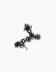 C[C@@H](Cn1cnnn1)Oc1cc(-c2cnc(Nc3cn([C@H]4CC[C@H](N5[C@@H]6CC[C@H]5COC6)CC4)nc3OCc3ncccn3)nc2)ccc1C#N